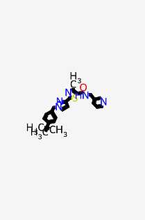 Cc1nc(-c2ccn(Cc3ccc(C(C)(C)C)cc3)n2)sc1C(=O)NCc1cccnc1